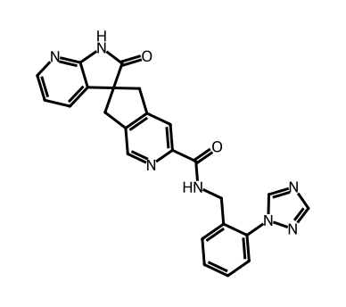 O=C(NCc1ccccc1-n1cncn1)c1cc2c(cn1)CC1(C2)C(=O)Nc2ncccc21